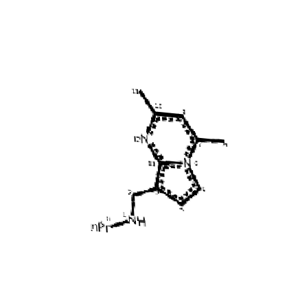 CCCNCc1ccn2c(C)cc(C)nc12